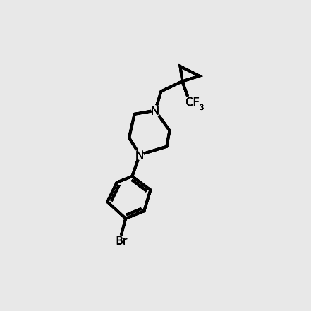 FC(F)(F)C1(CN2CCN(c3ccc(Br)cc3)CC2)CC1